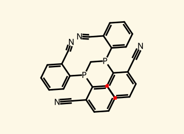 N#Cc1ccccc1P(CP(c1ccccc1C#N)c1ccccc1C#N)c1ccccc1C#N